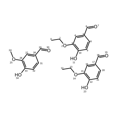 CCOc1cc(C=O)ccc1O.CCOc1cc(C=O)ccc1O.COc1cc(C=O)ccc1O